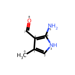 Cc1c[nH]c(N)c1C=O